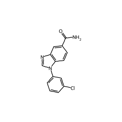 NC(=O)c1ccc2c(c1)ncn2-c1cccc(Cl)c1